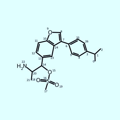 CC(C)c1ccc(-c2coc3ccc(C(OS(C)(=O)=O)C(C)N)cc23)cc1